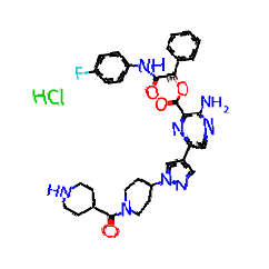 Cl.Nc1ncc(-c2cnn(C3CCN(C(=O)C4CCNCC4)CC3)c2)nc1C(=O)O[C@@H](C(=O)Nc1ccc(F)cc1)c1ccccc1